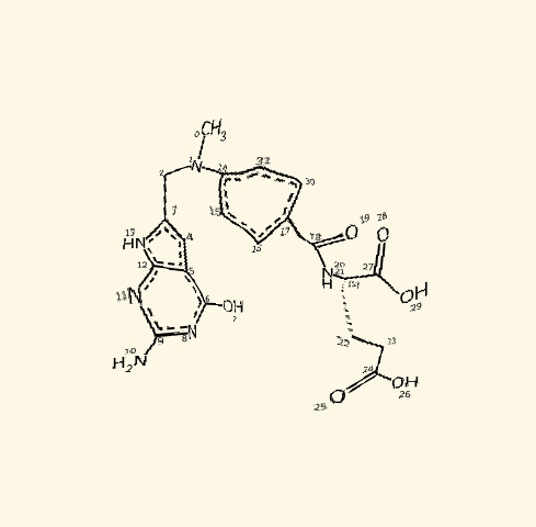 CN(Cc1cc2c(O)nc(N)nc2[nH]1)c1ccc(C(=O)N[C@@H](CCC(=O)O)C(=O)O)cc1